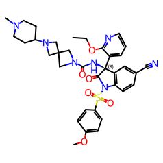 CCOc1ncccc1[C@@]1(NC(=O)N2CC3(C2)CN(C2CCN(C)CC2)C3)C(=O)N(S(=O)(=O)c2ccc(OC)cc2)c2ccc(C#N)cc21